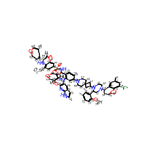 Cc1cc(F)c2c(c1)[C@H](N1CCN(C3CC4(CCN(c5ccc(C(=O)NS(=O)(=O)c6cc7c(c([N+](=O)[O-])c6)N[C@H](C6CCOCC6)CO7)c(N6c7cc8cc[nH]c8nc7O[C@H]7COCC[C@@H]76)c5)CC4)C3)[C@H](c3ccccc3OC(C)C)C1)CCO2